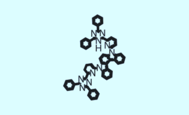 C1=C(n2c3ccccc3c3c4c5ccccc5n(-c5cccc(C6N=C(c7ccccc7)N=C(c7ccccc7)N6)n5)c4ccc32)N=C(c2nc(-c3ccccc3)nc(-c3ccccc3)n2)CC1